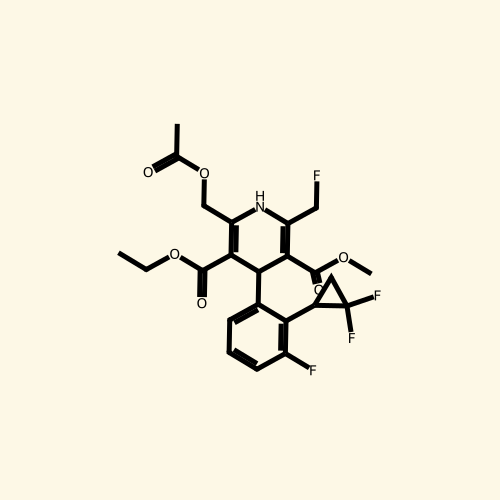 CCOC(=O)C1=C(COC(C)=O)NC(CF)=C(C(=O)OC)C1c1cccc(F)c1C1CC1(F)F